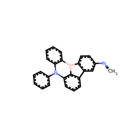 C=Nc1ccc2c(c1)-c1cccc3c1B2c1ccccc1N3c1ccccc1